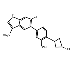 COc1cc(-c2cc3c(C(=O)O)c[nH]c3cc2Cl)ccc1C1CC(O)C1